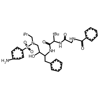 CC(C)CN(CC(O)C(Cc1ccccc1)NC(=O)C(NC(=O)CNC(=O)c1ccccc1)C(C)(C)C)S(=O)(=O)c1ccc(N)cc1